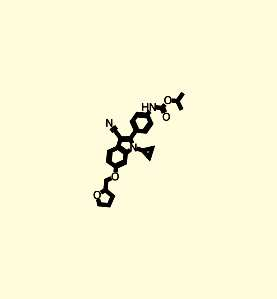 CC(C)OC(=O)Nc1ccc(-c2c(C#N)c3ccc(OCC4CCCO4)cc3n2C2CC2)cc1